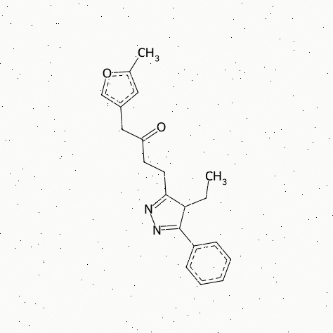 CCC1C(CCC(=O)Cc2coc(C)c2)=NN=C1c1ccccc1